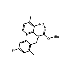 Cc1cc(F)ccc1CN(C(=O)OC(C)(C)C)c1nccc(C)c1[N+](=O)[O-]